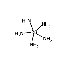 [NH2][Ru]([NH2])([NH2])([NH2])[NH2]